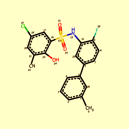 Cc1cccc(-c2ccc(F)c(NS(=O)(=O)c3cc(Cl)cc(C#N)c3O)c2)c1